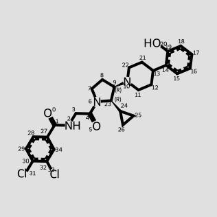 O=C(NCC(=O)N1CC[C@@H](N2CCC(c3ccccc3O)CC2)[C@H]1C1CC1)c1ccc(Cl)c(Cl)c1